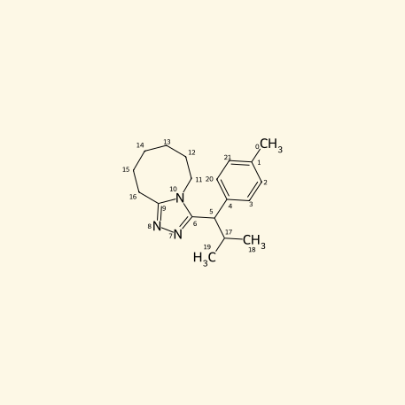 Cc1ccc(C(c2nnc3n2CCCCCC3)C(C)C)cc1